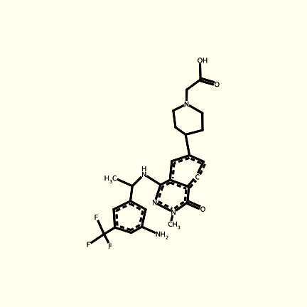 CC(Nc1nn(C)c(=O)c2ccc(C3CCN(CC(=O)O)CC3)cc12)c1cc(N)cc(C(F)(F)F)c1